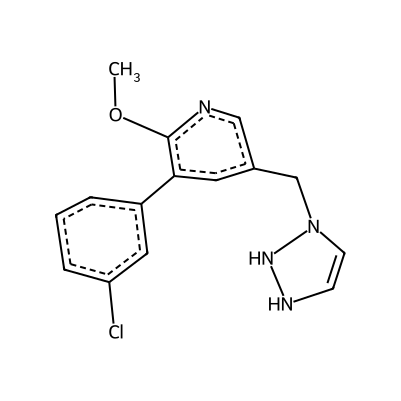 COc1ncc(CN2C=CNN2)cc1-c1cccc(Cl)c1